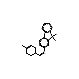 CC1=CCC(/C=N\c2ccc3c(c2)C(C)(C)c2ccccc2-3)CC1